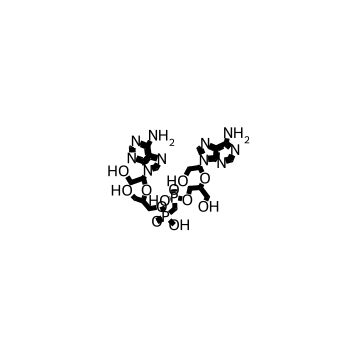 Nc1ncnc2c1ncn2C(CO)OC(CO)COP(=O)(O)CP(=O)(O)OCC(CO)OC(CO)n1cnc2c(N)ncnc21